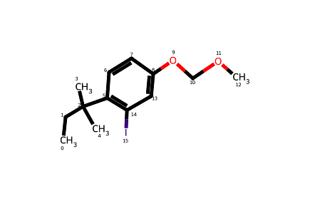 CCC(C)(C)c1ccc(OCOC)cc1I